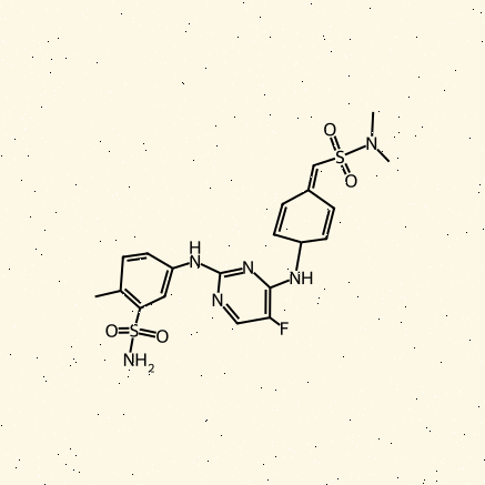 Cc1ccc(Nc2ncc(F)c(NC3C=CC(=CS(=O)(=O)N(C)C)C=C3)n2)cc1S(N)(=O)=O